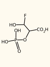 O=C(O)C(OP(=O)(O)O)C(O)F